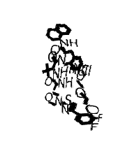 CNC(C)C(=O)NC(C(=O)N1Cc2cc(OCCOCCOc3c(-c4csc(N5CCOCC5)n4)ccc(F)c3F)ccc2CC1C(=O)N[C@@H]1CCCc2ccccc21)C(C)(C)C.Cl.Cl